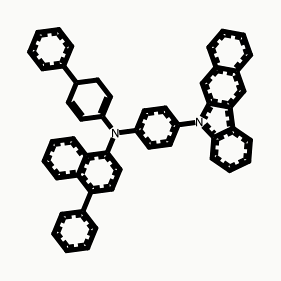 C1=CC(c2ccccc2)CC=C1N(c1ccc(-n2c3ccccc3c3cc4ccccc4cc32)cc1)c1ccc(-c2ccccc2)c2ccccc12